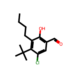 CCCCc1c(O)c(C=O)cc(Cl)c1C(C)(C)C